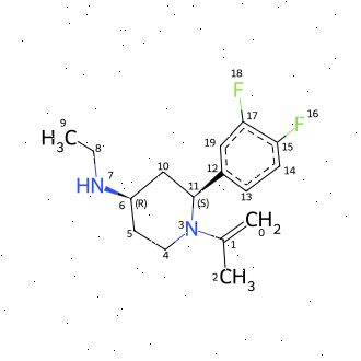 C=C(C)N1CC[C@@H](NCC)C[C@H]1c1ccc(F)c(F)c1